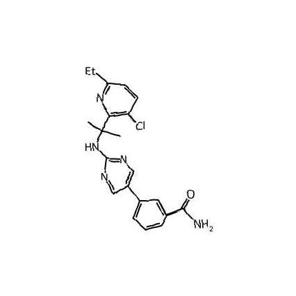 CCc1ccc(Cl)c(C(C)(C)Nc2ncc(-c3cccc(C(N)=O)c3)cn2)n1